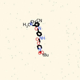 CN(C)Cc1cc(C#N)cc2nc(-c3ccc(NC(=O)COC4CCN(C(=O)OC(C)(C)C)CC4)cc3)oc12